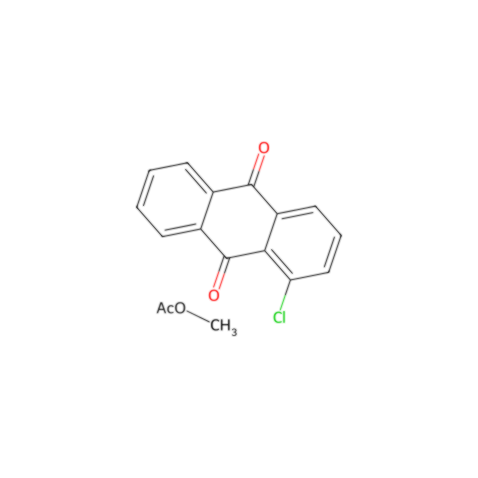 COC(C)=O.O=C1c2ccccc2C(=O)c2c(Cl)cccc21